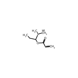 C=CC(=O)OC(CC)N(C)C.I